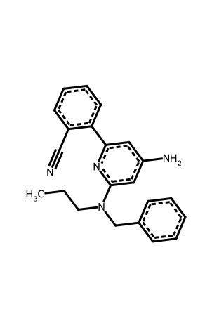 CCCN(Cc1ccccc1)c1cc(N)cc(-c2ccccc2C#N)n1